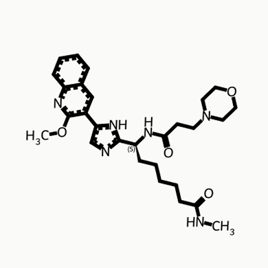 CNC(=O)CCCCC[C@H](NC(=O)CCN1CCOCC1)c1ncc(-c2cc3ccccc3nc2OC)[nH]1